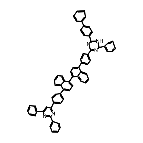 c1ccc(-c2ccc(C3=NC(c4ccc(-c5ccc(-c6ccc(-c7ccc(-c8cc(-c9ccccc9)nc(-c9ccccc9)n8)cc7)c7ccccc67)c6ccccc56)cc4)=NC(c4ccccc4)N3)cc2)cc1